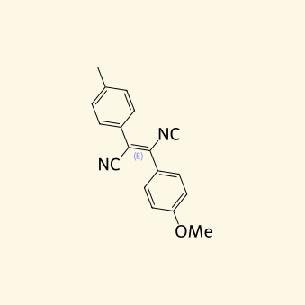 [C-]#[N+]/C(=C(/C#N)c1ccc(C)cc1)c1ccc(OC)cc1